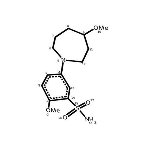 COc1ccc(N2CCCC(OC)CC2)cc1S(N)(=O)=O